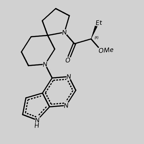 CC[C@@H](OC)C(=O)N1CCCC12CCCN(c1ncnc3[nH]ccc13)C2